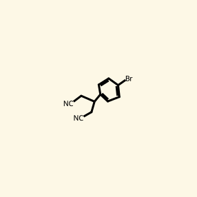 N#CCC(CC#N)c1ccc(Br)cc1